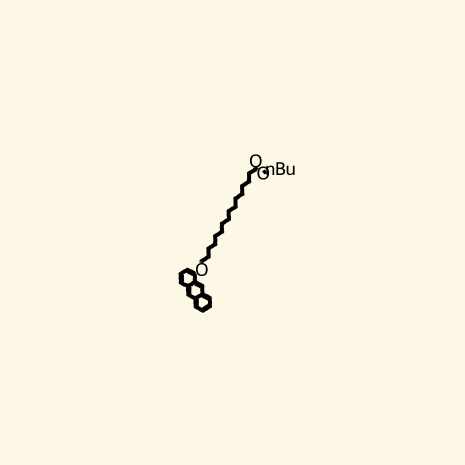 CCCCOC(=O)CCCCCCCCCCCCCCCOc1cccc2cc3ccccc3cc12